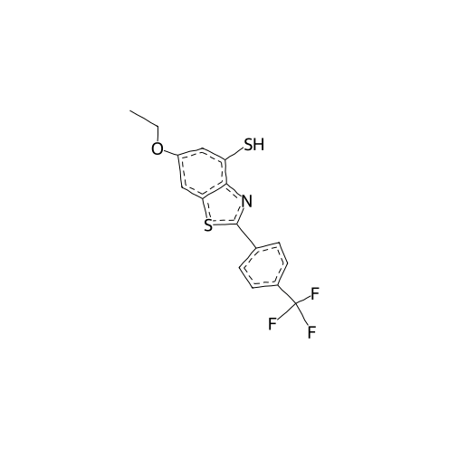 CCOc1cc(S)c2nc(-c3ccc(C(F)(F)F)cc3)sc2c1